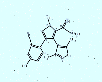 Cc1noc(C)c1-c1c(-c2ccc(O)cc2F)cn(C)c1C(=N)NO